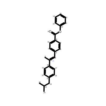 C/C(=C\c1ccc(C(=O)Oc2ccccc2)cc1)c1ccc(CC(C)C)cc1